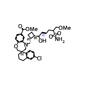 COCC(C/C=C/C(O)[C@@H]1CC[C@H]1CN1C[C@@]2(CCCc3cc(Cl)ccc32)COc2ccc(C(=O)OC)cc21)S(N)(=O)=O